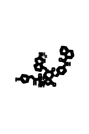 CCCN(C(=O)NCc1ccc(F)cc1)N1CC(=O)N2[C@@H](Cc3ccc(NC(=O)c4cccc5ccccc45)cc3)C(=O)N(Cc3cccc4sc(N)nc34)C[C@@H]21